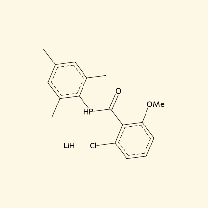 COc1cccc(Cl)c1C(=O)Pc1c(C)cc(C)cc1C.[LiH]